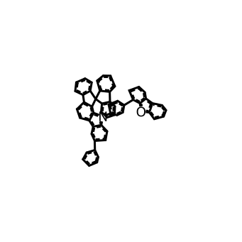 c1ccc(-c2ccc3c(c2)c2ccc4c(c2n3-c2ccc(-c3cccc5c3oc3ccccc35)cc2)C2(c3ccccc3-c3ccccc32)c2ccccc2-4)cc1